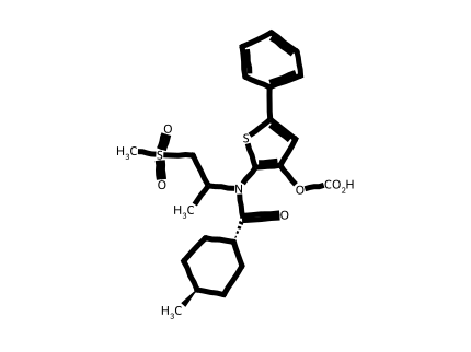 CC(CS(C)(=O)=O)N(c1sc(-c2ccccc2)cc1OC(=O)O)C(=O)[C@H]1CC[C@H](C)CC1